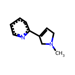 CN1CC=C(c2ccccn2)C1